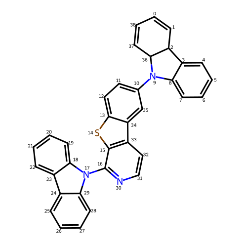 C1=CC2c3ccccc3N(c3ccc4sc5c(-n6c7ccccc7c7ccccc76)nccc5c4c3)C2C=C1